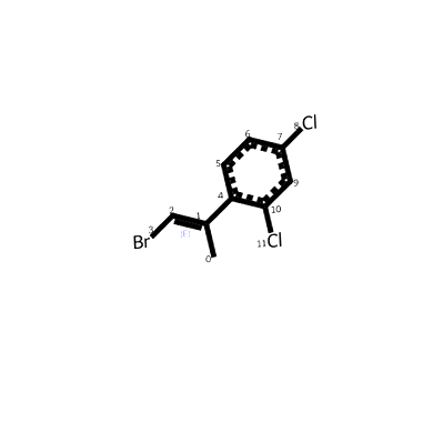 C/C(=C\Br)c1ccc(Cl)cc1Cl